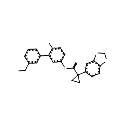 CCc1cccc(-c2cc(NC(=O)C3(c4ccc5c(c4)OCO5)CC3)ccc2F)c1